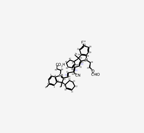 Cc1ccc2c(c1)C(C)(C1C=CCCC1)C(/C=C/C(C#N)=C/C=C1/N(CCOC=O)c3ccc(F)cc3C1(C)C1C=CCCC1)=[N+]2CCC(=O)O